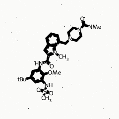 CNC(=O)N1CCN(Cc2cccc3cc(C(=O)Nc4cc(C(C)(C)C)cc(NS(C)(=O)=O)c4OC)n(C)c23)CC1